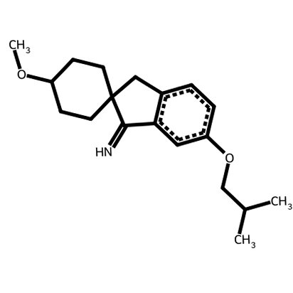 COC1CCC2(CC1)Cc1ccc(OCC(C)C)cc1C2=N